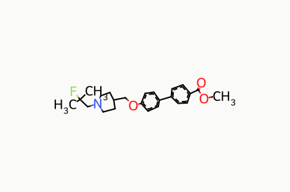 COC(=O)c1ccc(-c2ccc(OCC3CCN(CC(C)(C)F)CC3)cc2)cc1